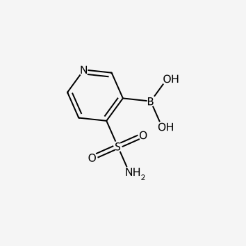 NS(=O)(=O)c1ccncc1B(O)O